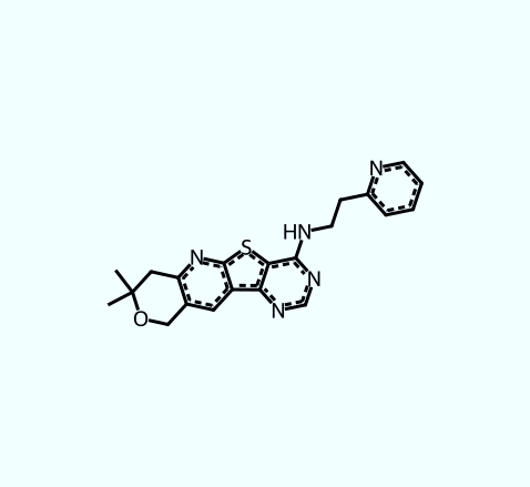 CC1(C)Cc2nc3sc4c(NCCc5ccccn5)ncnc4c3cc2CO1